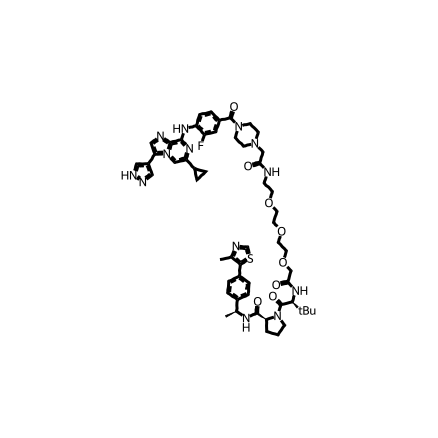 Cc1ncsc1-c1ccc([C@H](C)NC(=O)[C@@H]2CCCN2C(=O)[C@@H](NC(=O)COCCOCCOCCNC(=O)CN2CCN(C(=O)c3ccc(Nc4nc(C5CC5)cn5c(-c6cn[nH]c6)cnc45)c(F)c3)CC2)C(C)(C)C)cc1